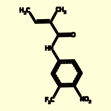 CC=C(C)C(=O)Nc1ccc([N+](=O)[O-])c(C(F)(F)F)c1